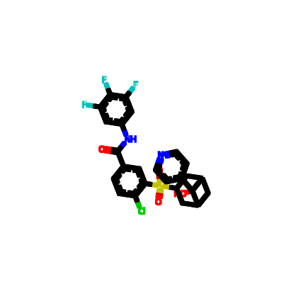 O=C(Nc1cc(F)c(F)c(F)c1)c1ccc(Cl)c(S(=O)(=O)C2CC3CC(C2)C3(O)c2ccncc2)c1